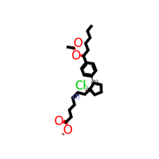 CCCCCC(OC(C)=O)c1ccc([C@@H]2CCC[C@@]2(Cl)C/C=C\CCCC(=O)OC)cc1